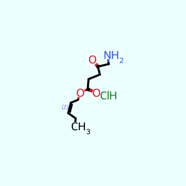 CC/C=C\COC(=O)CCC(=O)CN.Cl